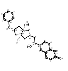 O=c1ccc2cc([C@H](O)CN3C[C@H]4C[C@H](Oc5ccccc5)C[C@@]4(O)C3)ccc2[nH]1